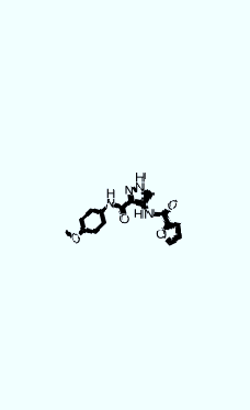 COC1CCC(NC(=O)c2n[nH]cc2NC(=O)c2ccco2)CC1